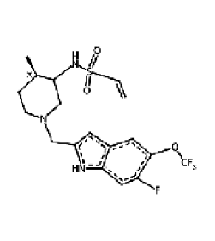 C=CS(=O)(=O)NC1CN(Cc2cc3cc(OC(F)(F)F)c(F)cc3[nH]2)CC[C@H]1C